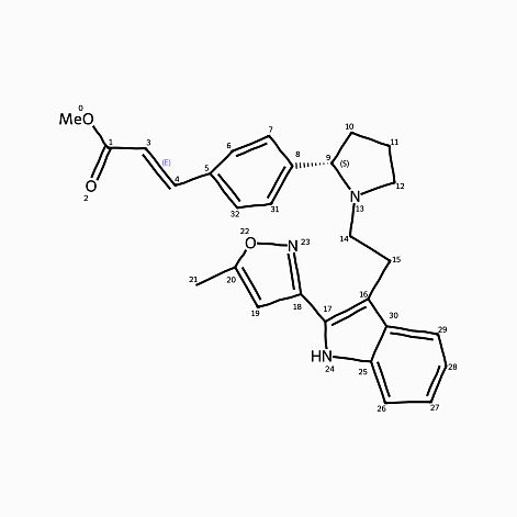 COC(=O)/C=C/c1ccc([C@@H]2CCCN2CCc2c(-c3cc(C)on3)[nH]c3ccccc23)cc1